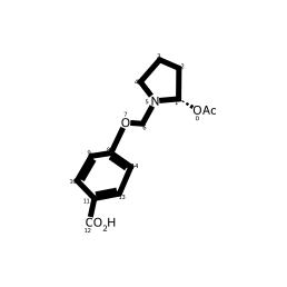 CC(=O)O[C@H]1CCCN1COc1ccc(C(=O)O)cc1